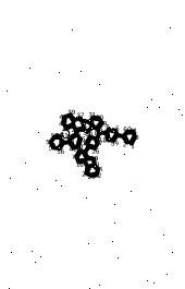 c1ccc(-c2ccc(C(c3ccc(-c4cccc5c4Cc4ccccc4-5)cc3)c3cccc4c3Cc3c-4cc4ccccc4c3-c3cccc4c3oc3ccccc34)cc2)cc1